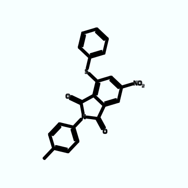 Cc1ccc(N2C(=O)c3cc([N+](=O)[O-])cc(Sc4ccccc4)c3C2=O)cc1